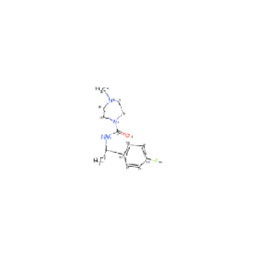 CC(NC(=O)N1CCN(C)CC1)c1ccc(F)cc1